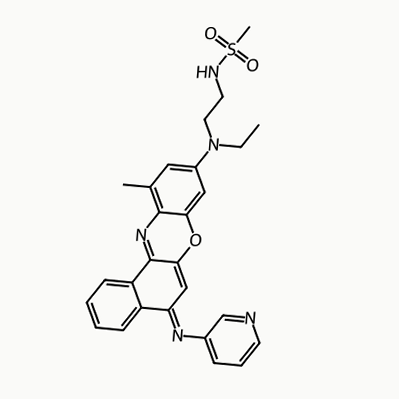 CCN(CCNS(C)(=O)=O)c1cc(C)c2nc3c4ccccc4c(=Nc4cccnc4)cc-3oc2c1